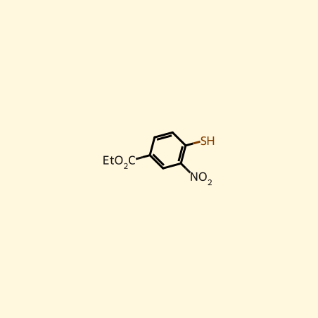 CCOC(=O)c1ccc(S)c([N+](=O)[O-])c1